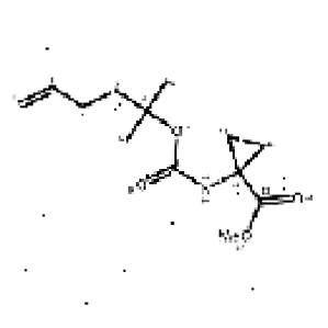 C=CCCC(C)(C)OC(=O)NC1(C(=O)OC)CC1